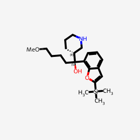 COCCCC[C@@](O)(c1cccc2cc([Si](C)(C)C)oc12)[C@@H]1CCCNC1